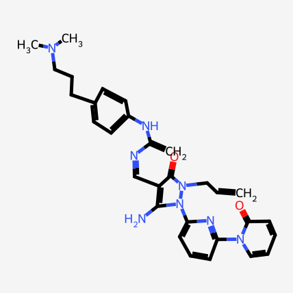 C=CCn1c(=O)c(/C=N\C(=C)Nc2ccc(CCCN(C)C)cc2)c(N)n1-c1cccc(-n2ccccc2=O)n1